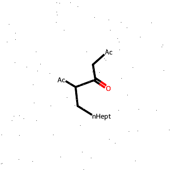 CCCCCCCCC(C(C)=O)C(=O)CC(C)=O